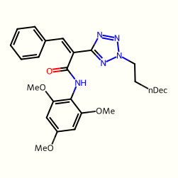 CCCCCCCCCCCCn1nnc(C(=Cc2ccccc2)C(=O)Nc2c(OC)cc(OC)cc2OC)n1